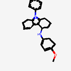 COC1=CC=C(NC2CCCc3c2c2c(n3-c3ccccc3)CCC=C2)CC1